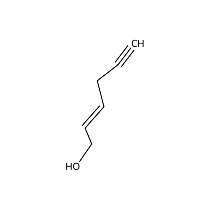 C#CC/C=C/CO